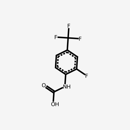 O=C(O)Nc1ccc(C(F)(F)F)cc1F